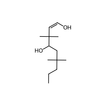 CCCC(C)(C)CC(O)C(C)(C)/C=C\O